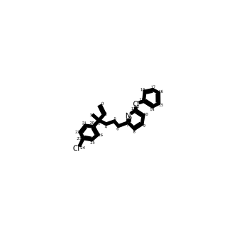 C=CC(C)(CCCc1cccc(Oc2ccccc2)n1)c1ccc(Cl)cc1